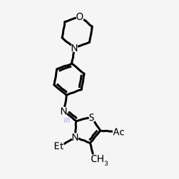 CCn1c(C)c(C(C)=O)s/c1=N\c1ccc(N2CCOCC2)cc1